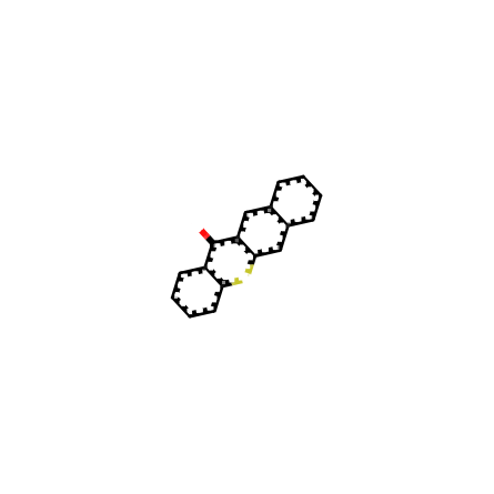 O=c1c2ccccc2sc2cc3ccccc3cc12